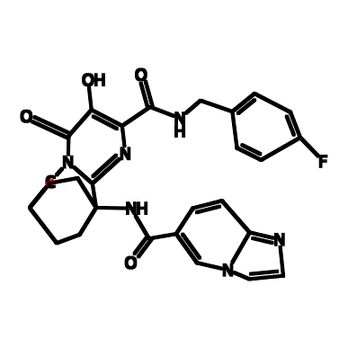 O=C(NC12CCC(CC1)Cn1c2nc(C(=O)NCc2ccc(F)cc2)c(O)c1=O)c1ccc2nccn2c1